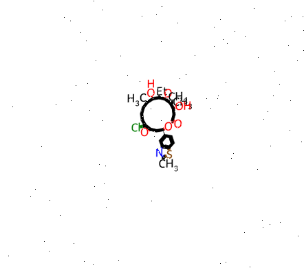 CC[C@H]1C(=O)C(C)(C)[C@@H](O)CC(=O)O[C@H](c2ccc3sc(C)nc3c2)CC2OC2(Cl)CCC[C@H](C)[C@@H]1O